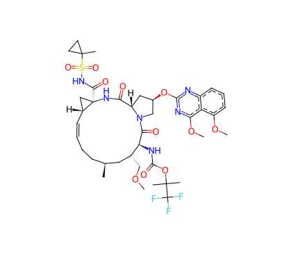 COC[C@@H]1C[C@@H](C)CCC=C[C@@H]2C[C@@]2(C(=O)NS(=O)(=O)C2(C)CC2)NC(=O)[C@@H]2C[C@@H](Oc3nc(OC)c4c(OC)cccc4n3)CN2C(=O)[C@H]1NC(=O)OC(C)(C)C(F)(F)F